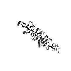 C=C(C)C(=O)O[Si](CC(C)C)(CC(C)C)O[Si](CC(C)C)(CC(C)C)O[Si](CC(C)C)(CC(C)C)O[Si](CC(C)C)(CC(C)C)O[Si](CC(C)C)(CC(C)C)O[Si](CC(C)C)(CC(C)C)CC(C)C